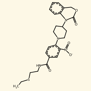 CCSCCNC(=O)c1ccc(N2CCC(N3C(=O)OCc4ccccc43)CC2)c([N+](=O)[O-])c1